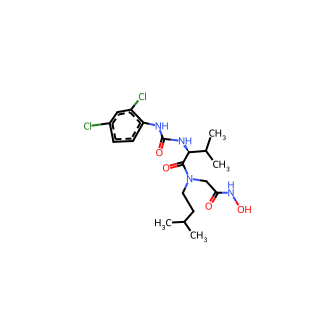 CC(C)CCN(CC(=O)NO)C(=O)[C@@H](NC(=O)Nc1ccc(Cl)cc1Cl)C(C)C